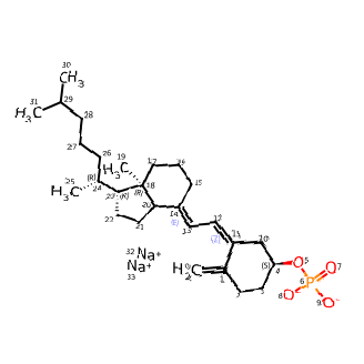 C=C1CC[C@H](OP(=O)([O-])[O-])C/C1=C/C=C1\CCC[C@@]2(C)C1CC[C@@H]2[C@H](C)CCCC(C)C.[Na+].[Na+]